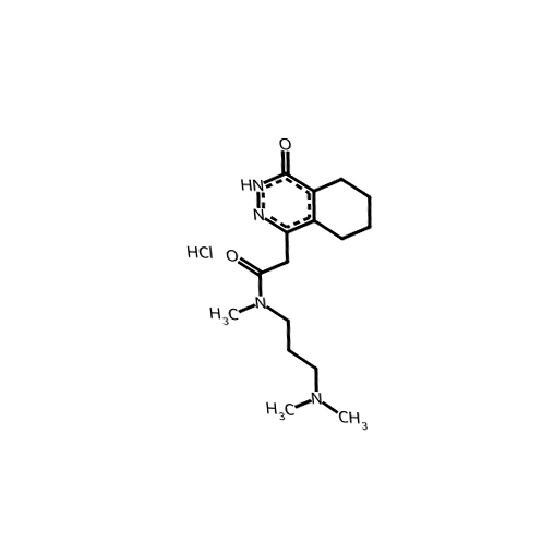 CN(C)CCCN(C)C(=O)Cc1n[nH]c(=O)c2c1CCCC2.Cl